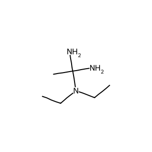 CCN(CC)C(C)(N)N